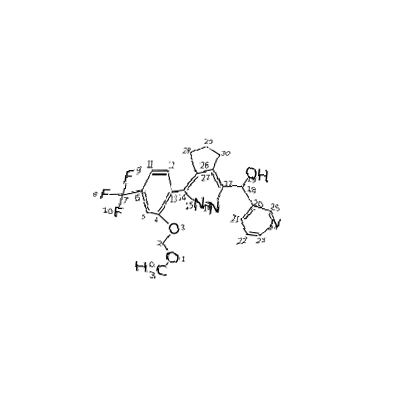 COCOc1cc(C(F)(F)F)ccc1-c1nnc(C(O)c2cccnc2)c2c1CCC2